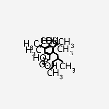 CCCCC(CC)Cc1c(CP(=O)(O)O)cc(C(C)(C)C)c(O)c1C(C)(C)C